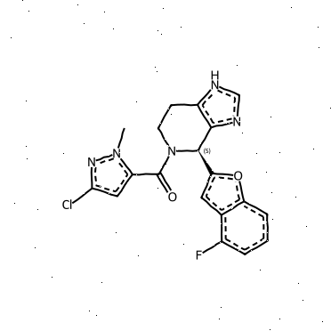 Cn1nc(Cl)cc1C(=O)N1CCc2[nH]cnc2[C@H]1c1cc2c(F)cccc2o1